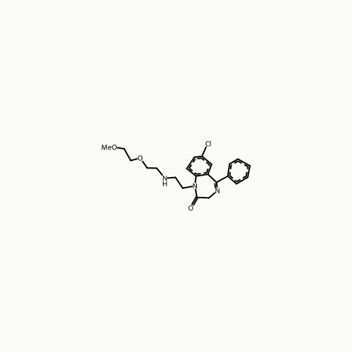 COCCOCCNCCN1C(=O)CN=C(c2ccccc2)c2cc(Cl)ccc21